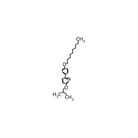 CCCCCCCCCCOc1ccc(-c2ccc(OCC(C)CC)cn2)cc1